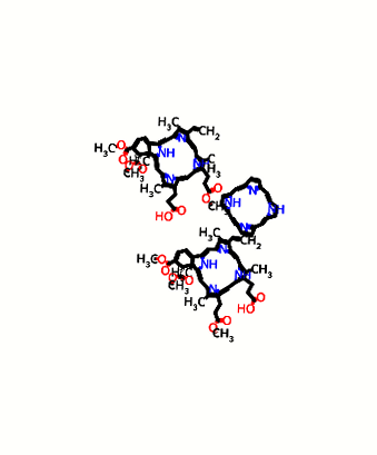 C1=Cc2cc3ccc(cc4nc(cc5ccc(cc1n2)[nH]5)C=C4)[nH]3.C=CC1=C(C)c2cc3[nH]c(cc4nc(cc5[nH]c(cc1n2)c(C)c5CCC(=O)O)C(CCC(=O)OC)=C4C)[C@@]1(C)C3=CC=C(C(=O)OC)[C@H]1C(=O)OC.C=CC1=C(C)c2cc3[nH]c(cc4nc(cc5[nH]c(cc1n2)c(C)c5CCC(=O)OC)C(CCC(=O)O)=C4C)[C@@]1(C)C3=CC=C(C(=O)OC)[C@H]1C(=O)OC